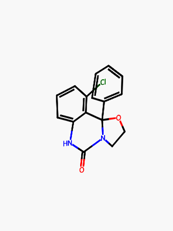 O=C1Nc2cccc(Cl)c2C2(c3ccccc3)OCCN12